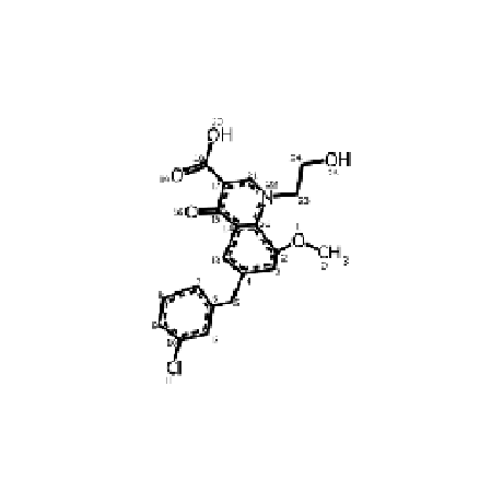 COc1cc(Cc2cccc(Cl)c2)cc2c(=O)c(C(=O)O)cn(CCO)c12